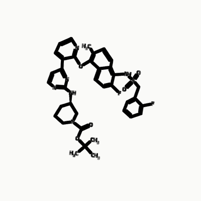 Cc1ccc2c(NS(=O)(=O)Cc3ccccc3F)c(F)ccc2c1Oc1ncccc1-c1ccnc(N[C@@H]2CCCN(C(=O)OC(C)(C)C)C2)n1